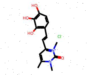 Cc1cc(C=Cc2ccc(O)c(O)c2O)[n+](C)c(=O)n1C.[Cl-]